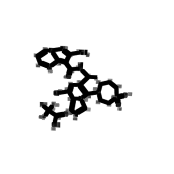 CC(NC(=O)c1c(N)nn2cccnc12)c1cc(Cl)c2cncn2c1N1CCCS(=O)(=O)CC1.O=C(O)C(F)(F)F